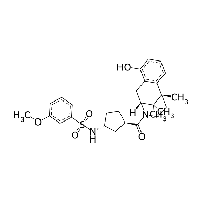 COc1cccc(S(=O)(=O)N[C@@H]2CC[C@@H](C(=O)N3CC[C@@]4(C)c5cccc(O)c5C[C@@H]3C4(C)C)C2)c1